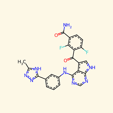 Cc1nnc(-c2cccc(Nc3ncnc4[nH]cc(C(=O)c5c(F)ccc(C(N)=O)c5F)c34)c2)[nH]1